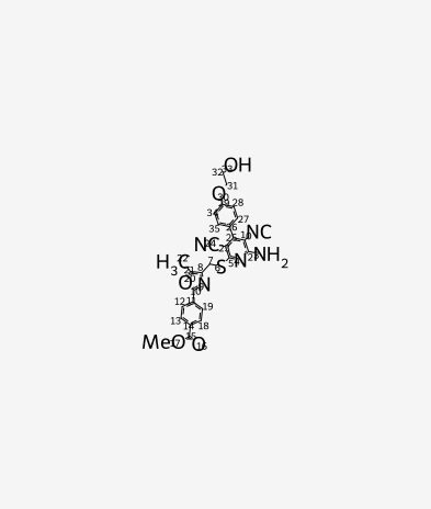 [C-]#[N+]c1c(N)nc(SCc2nc(-c3ccc(C(=O)OC)cc3)oc2C)c(C#N)c1-c1ccc(OCCO)cc1